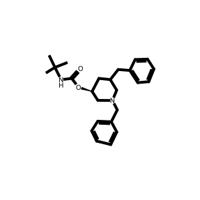 CC(C)(C)NC(=O)O[C@H]1CC(Cc2ccccc2)CN(Cc2ccccc2)C1